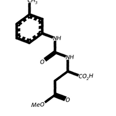 COC(=O)CC(NC(=O)Nc1cccc(C)c1)C(=O)O